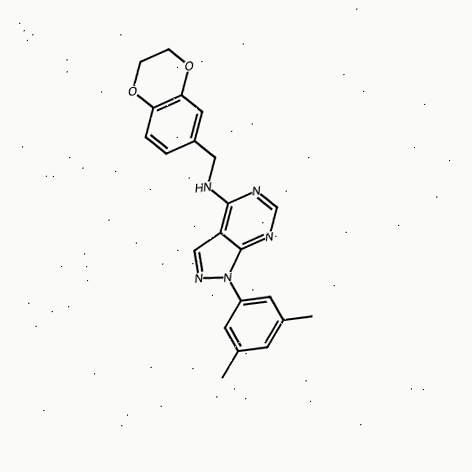 Cc1cc(C)cc(-n2ncc3c(NCc4ccc5c(c4)OCCO5)ncnc32)c1